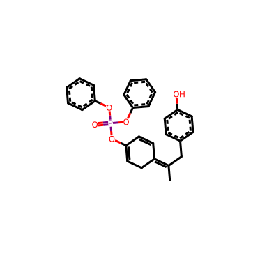 CC(Cc1ccc(O)cc1)=C1C=CC(OP(=O)(Oc2ccccc2)Oc2ccccc2)=CC1